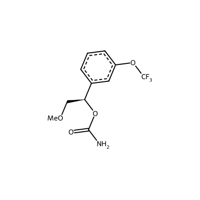 COC[C@H](OC(N)=O)c1cccc(OC(F)(F)F)c1